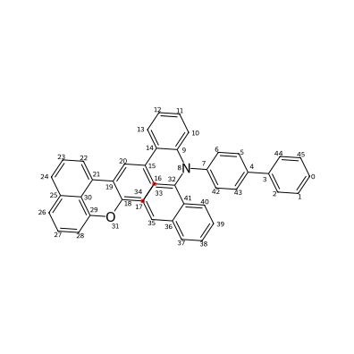 c1ccc(-c2ccc(N(c3ccccc3-c3ccc4c(c3)-c3cccc5cccc(c35)O4)c3cccc4ccccc34)cc2)cc1